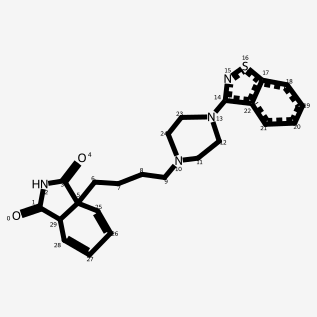 O=C1NC(=O)C2(CCCCN3CCN(c4nsc5ccccc45)CC3)C=CC=CC12